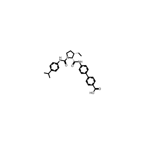 CC[C@H]1CCN(C(=O)Nc2ccc(C(C)C)cc2)[C@H]1C(=O)Nc1ccc(-c2ccc(C(=O)O)cc2)cc1